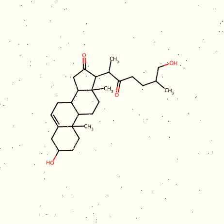 CC(CO)CCC(=O)C(C)C1C(=O)CC2C3CC=C4CC(O)CCC4(C)C3CCC21C